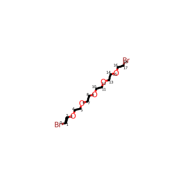 BrC=COCCOCCOCCOCCOCCBr